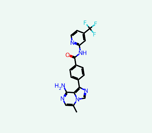 Cc1cnc(N)c2c(-c3ccc(C(=O)Nc4cc(C(F)(F)F)ccn4)cc3)ncn12